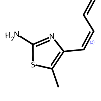 C=C/C=C\c1nc(N)sc1C